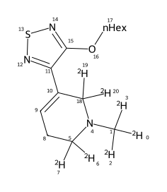 [2H]C([2H])([2H])N1C([2H])([2H])CC=C(c2nsnc2OCCCCCC)C1([2H])[2H]